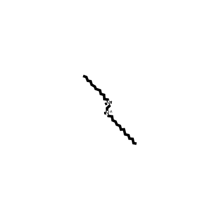 CCCCCCCCCCCCCC[N+](C)(C)CC[N+](C)(C)CCCCCCCCCCCC